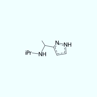 CC(C)NC(C)c1cc[nH]n1